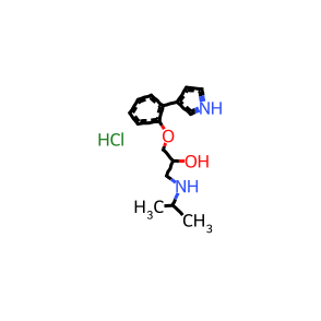 CC(C)NCC(O)COc1ccccc1-c1cc[nH]c1.Cl